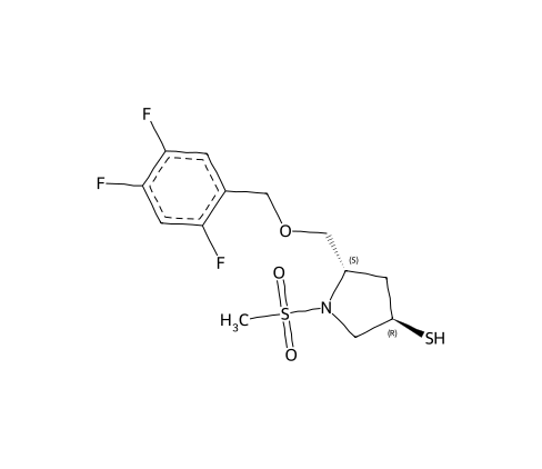 CS(=O)(=O)N1C[C@H](S)C[C@H]1COCc1cc(F)c(F)cc1F